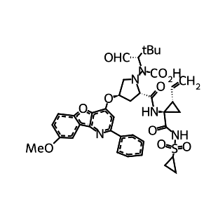 C=C[C@@H]1C[C@]1(NC(=O)[C@@H]1C[C@@H](Oc2cc(-c3ccccc3)nc3c2oc2ccc(OC)cc23)CN1N(C(=O)O)[C@H](C=O)C(C)(C)C)C(=O)NS(=O)(=O)C1CC1